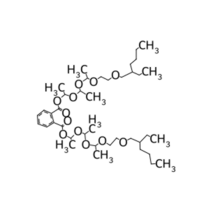 CCCCC(CC)COCCOC(C)OC(C)OC(C)OC(=O)c1ccccc1C(=O)OC(C)OC(C)OC(C)OCCOCC(CC)CCCC